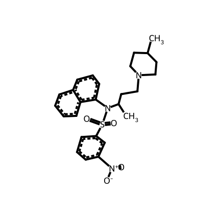 CC1CCN(CCC(C)N(c2cccc3ccccc23)S(=O)(=O)c2cccc([N+](=O)[O-])c2)CC1